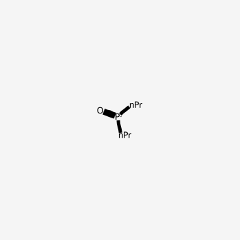 CCC[P](=O)CCC